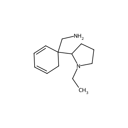 CCN1CCCC1C1(CN)C=CC=CC1